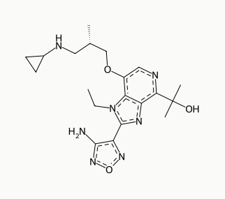 CCn1c(-c2nonc2N)nc2c(C(C)(C)O)ncc(OC[C@@H](C)CNC3CC3)c21